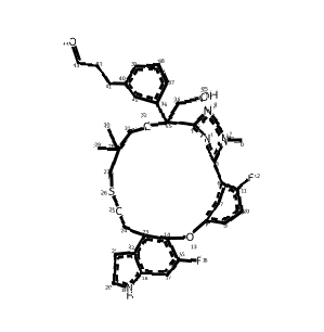 Cn1nc2nc1-c1cc(ccc1F)Oc1c(F)cc3[nH]ccc3c1CCSCC(C)(C)CCC2(CO)c1cccc(CCC=O)c1